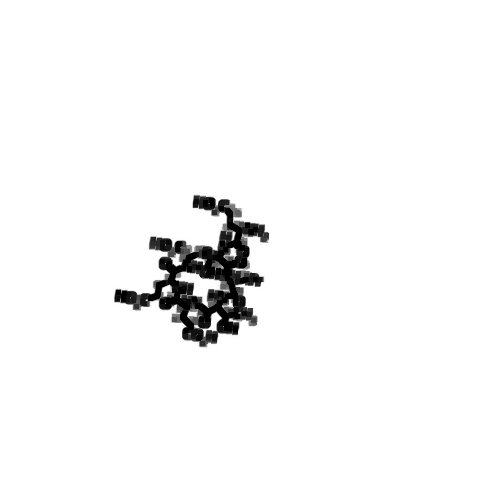 CC[C@H](C)[C@H](NC(=O)[C@H](CCC(=O)O)NC(=O)[C@H](CCC(=O)O)NC(=O)[C@@H](NC(=O)[C@@H](NC(=O)[C@H](CO)NC(=O)[C@@H](N)CCC(=O)O)C(C)C)[C@@H](C)O)C(=O)O